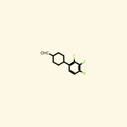 O=CC1CCC(c2ccc(F)c(F)c2F)CC1